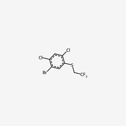 FC(F)(F)CSc1cc(Br)c(Cl)cc1Cl